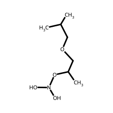 CC(C)COCC(C)ON(O)O